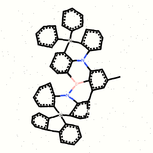 Cc1cc2c3c(c1)N1c4ccccc4[Si](c4ccccc4)(c4ccccc4)c4cccc(c41)B3N1c3ccccc3[Si]3(c4ccccc4-c4ccccc43)c3cccc-2c31